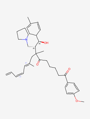 C=C/C=C\C=C(/C)CC(C)(C(=O)CCCCC(=O)c1ccc(OC)cc1)[C@H](CN1CCCC1)[C@H](O)C1C=CC(C)=CC1